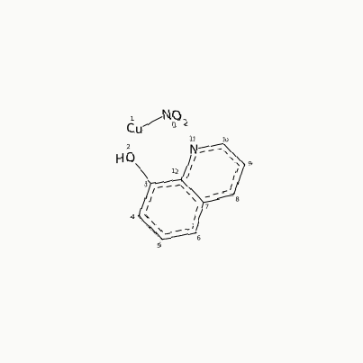 O=[N+]([O-])[Cu].Oc1cccc2cccnc12